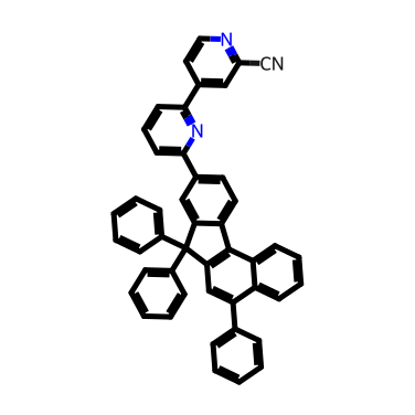 N#Cc1cc(-c2cccc(-c3ccc4c(c3)C(c3ccccc3)(c3ccccc3)c3cc(-c5ccccc5)c5ccccc5c3-4)n2)ccn1